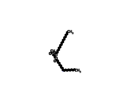 CCCCCCCC/C=C\CCCCCCCC(=O)OCC(COC(C)=O)OC(=O)CCCCCCCCCCCCCCCCC